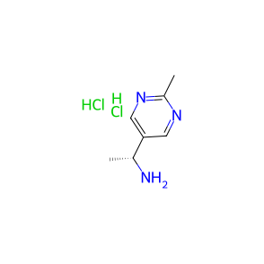 Cc1ncc([C@@H](C)N)cn1.Cl.Cl